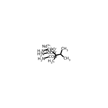 CC(C)C(C)C.NC(=O)[O-].NC(=O)[O-].NC(=O)[O-].[Nd+3]